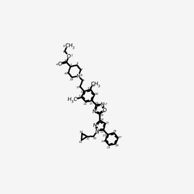 CCOC(=O)C1CCN(CCc2c(C)cc(-c3noc(-c4cc(-c5ccccc5)n(CC5CC5)n4)n3)cc2C)CC1